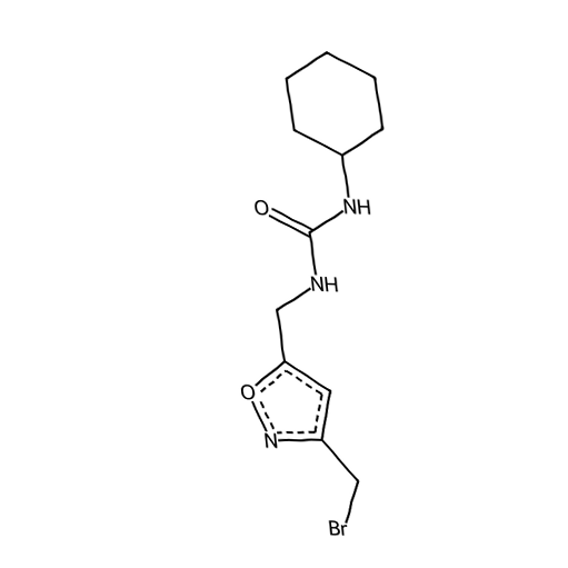 O=C(NCc1cc(CBr)no1)NC1CCCCC1